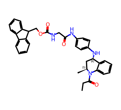 CCC(=O)N1c2ccccc2[C@H](Nc2ccc(NC(=O)CNC(=O)OCC3c4ccccc4-c4ccccc43)cc2)C[C@@H]1C